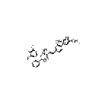 CCCN1C(/C=C/c2ccc(-n3cnc(C)c3)c(O)c2)=NOC(C2=CCCC=C2)[C@@H]1c1cc(F)c(F)c(F)c1